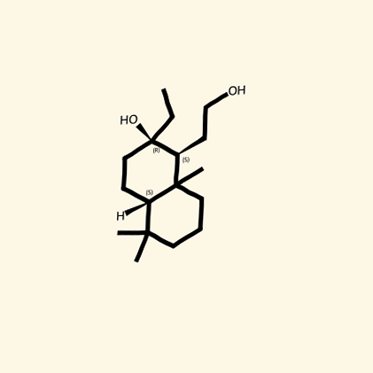 CC[C@@]1(O)CC[C@H]2C(C)(C)CCCC2(C)[C@@H]1CCO